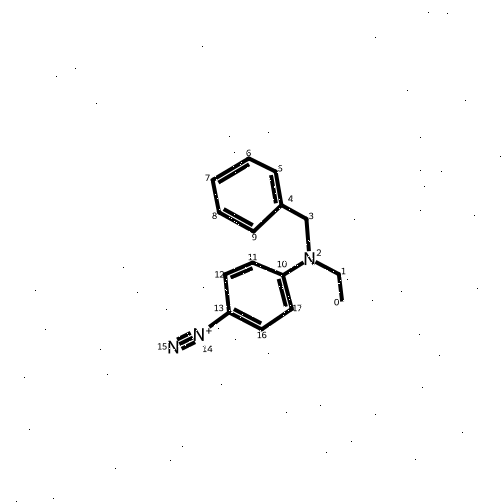 CCN(Cc1ccccc1)c1ccc([N+]#N)cc1